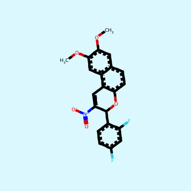 COc1cc2ccc3c(c2cc1OC)C=C([N+](=O)[O-])C(c1ccc(F)cc1F)O3